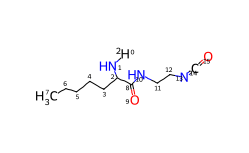 [2H]NC(CCCCC)C(=O)NCCN=C=O